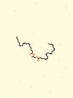 CC/C=C\C/C=C\C/C=C\C/C=C\C/C=C\CCCC(=O)OCC(C)OC(=O)CCCC/C=C\C/C=C\C/C=C\CCCCC